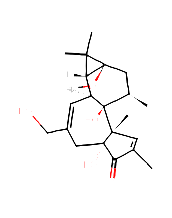 CCO[C@@]12C[C@@H](C)[C@@]3(O)[C@@H](C=C(CO)C[C@]4(O)C(=O)C(C)=C[C@@H]34)[C@@H]1C2(C)C